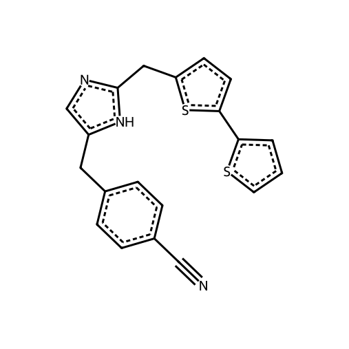 N#Cc1ccc(Cc2cnc(Cc3ccc(-c4cccs4)s3)[nH]2)cc1